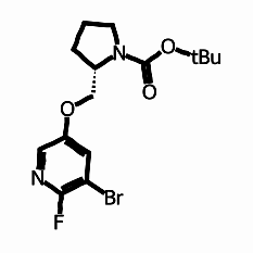 CC(C)(C)OC(=O)N1CCC[C@H]1COc1cnc(F)c(Br)c1